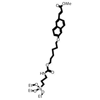 CCO[Si](CCCNC(=O)OCCCCCCOc1ccc2cc(/C=C/C(=O)OC)ccc2c1)(OCC)OCC